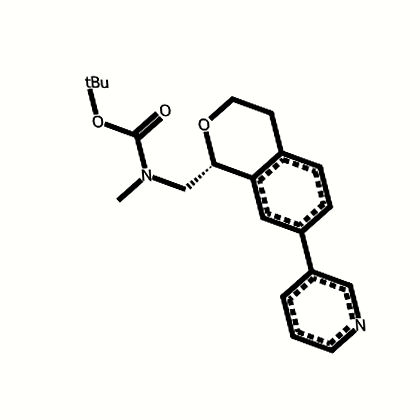 CN(C[C@@H]1OCCc2ccc(-c3cccnc3)cc21)C(=O)OC(C)(C)C